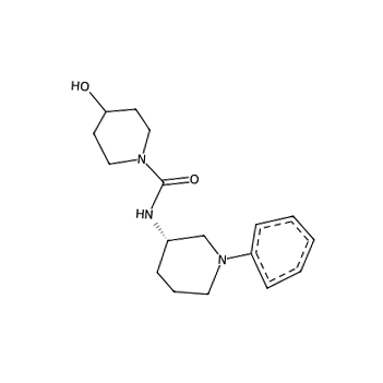 O=C(N[C@H]1CCCN(c2ccccc2)C1)N1CCC(O)CC1